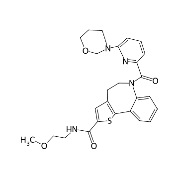 COCCNC(=O)c1cc2c(s1)-c1ccccc1N(C(=O)c1cccc(N3CCCOC3)n1)CC2